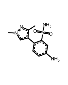 Cc1nn(C)cc1-c1ccc(N)cc1S(N)(=O)=O